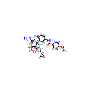 NC1=N[C@](CF)(c2cc(NC(=O)c3cnc(OCF)cn3)ccc2F)[C@H]2[C@H](CC3CC3)OC[C@H]2O1